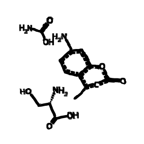 Cc1cc(=O)oc2cc(N)ccc12.NC(=O)O.N[C@@H](CO)C(=O)O